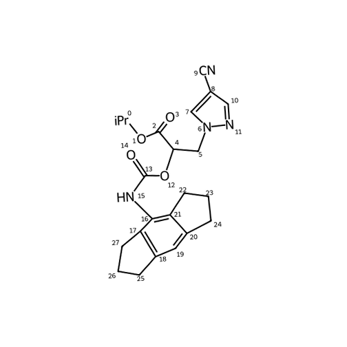 CC(C)OC(=O)C(Cn1cc(C#N)cn1)OC(=O)Nc1c2c(cc3c1CCC3)CCC2